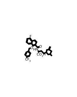 C=C1CC(C)CC(CC[C@H](NC(=O)c2ccc3c(F)cccc3c2OCc2ccc(C(F)(F)F)cc2)C(=O)O)C1